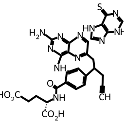 C#CCC(Cc1cnc2nc(N)nc(N)c2n1)c1ccc(C(=O)N[C@@H](CCC(=O)O)C(=O)O)cc1.S=c1nc[nH]c2nc[nH]c12